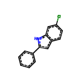 Clc1ccc2cc(-c3ccccc3)[nH]c2c1